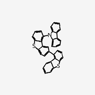 c1ccc2c(c1)sc1cccc(-c3ccc4sc5cccc(-n6c7ccccc7c7ccccc76)c5c4c3)c12